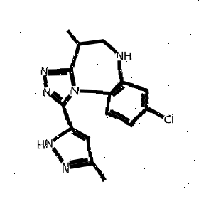 Cc1cc(-c2nnc3n2-c2ccc(Cl)cc2NCC3C)[nH]n1